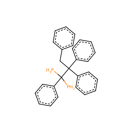 PC(P)(c1ccccc1)C(Cc1ccccc1)(c1ccccc1)c1ccccc1